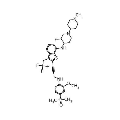 COc1cc(P(C)(C)=O)ccc1NCC#Cc1sc2c(NC3CCN(C4CCN(C)CC4)CC3F)cccc2c1CC(F)(F)F